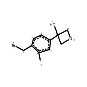 OC1(c2ccc(CBr)c(F)c2)COC1